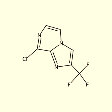 FC(F)(F)c1cn2ccnc(Cl)c2n1